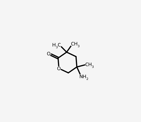 CC1(N)COC(=O)C(C)(C)C1